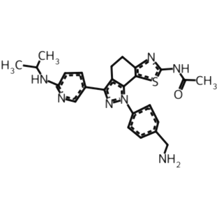 CC(=O)Nc1nc2c(s1)-c1c(c(-c3ccc(NC(C)C)nc3)nn1-c1ccc(CN)cc1)CC2